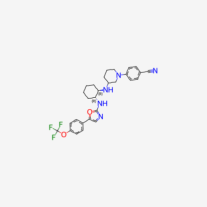 N#Cc1ccc(N2CCCC(N[C@@H]3CCCC[C@H]3Nc3ncc(-c4ccc(OC(F)(F)F)cc4)o3)C2)cc1